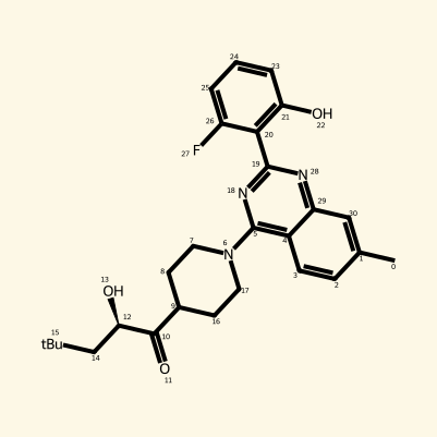 Cc1ccc2c(N3CCC(C(=O)[C@H](O)CC(C)(C)C)CC3)nc(-c3c(O)cccc3F)nc2c1